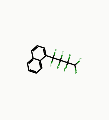 FC(F)C(F)(F)C(F)(F)C(F)(F)c1cccc2ccccc12